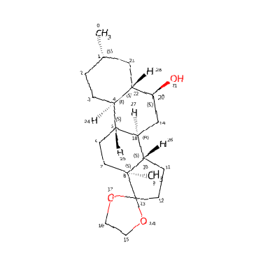 C[C@H]1CC[C@@H]2[C@H]3CC[C@@]4(C)[C@@H](CCC45OCCO5)[C@@H]3C[C@H](O)[C@H]2C1